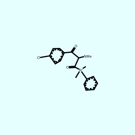 CNC(C(=O)c1ccc(Cl)cc1)C(=O)[N+](C)(C)c1ccccc1